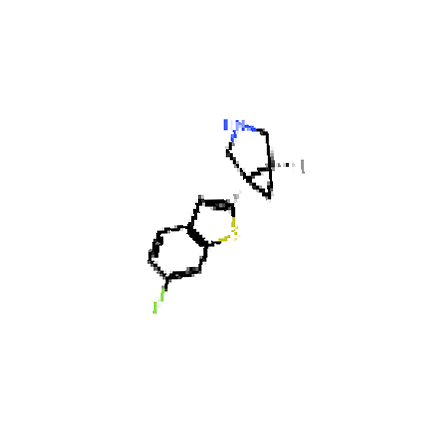 Fc1ccc2cc([C@]34CNC[C@H]3C4)sc2c1